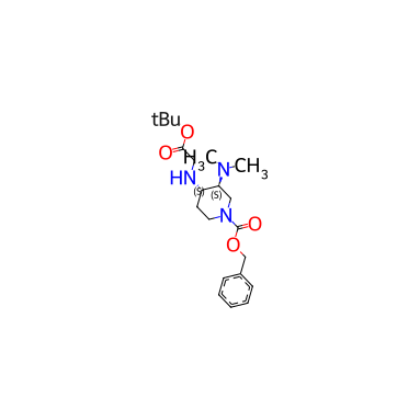 CN(C)[C@H]1CN(C(=O)OCc2ccccc2)CC[C@@H]1NCC(=O)OC(C)(C)C